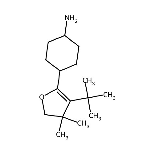 CC(C)(C)C1=C(C2CCC(N)CC2)OCC1(C)C